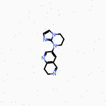 C1=NCCc2ncc(N3CCCn4ccnc43)cc21